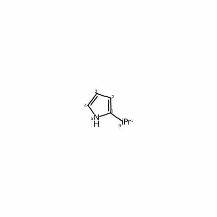 C[C](C)c1ccc[nH]1